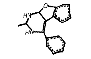 CC1NC(c2ccccc2)=C2c3ccccc3OC2N1